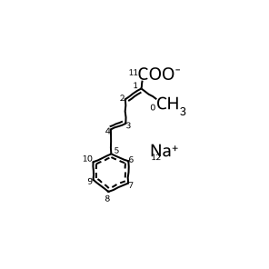 CC(=CC=Cc1ccccc1)C(=O)[O-].[Na+]